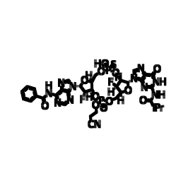 CC(C)C(=O)Nc1nc2c(ncn2[C@@H]2O[C@@H]3COP(=O)(OCCC#N)O[C@H]4[C@@H](F)[C@H](n5cnc6c(NC(=O)c7ccccc7)ncnc65)O[C@@H]4COP(O)(=S)O[C@@H]2[C@@H]3F)c(=O)[nH]1